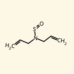 C=CCN(CC=C)[S+]=O